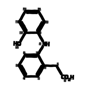 O=C(O)Cc1ccccc1Nc1ccccc1O